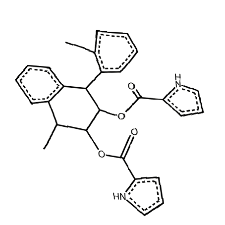 Cc1ccccc1C1c2ccccc2C(C)C(OC(=O)c2ccc[nH]2)C1OC(=O)c1ccc[nH]1